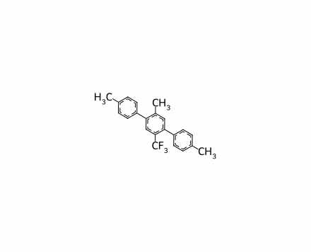 Cc1ccc(-c2cc(C(F)(F)F)c(-c3ccc(C)cc3)cc2C)cc1